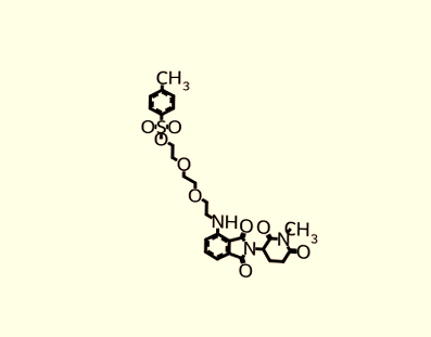 Cc1ccc(S(=O)(=O)OCCOCCOCCNc2cccc3c2C(=O)N(C2CCC(=O)N(C)C2=O)C3=O)cc1